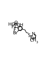 Cn1ccnc1SCCCc1ccc(C(F)(F)P(=O)(O)O)c(Br)c1